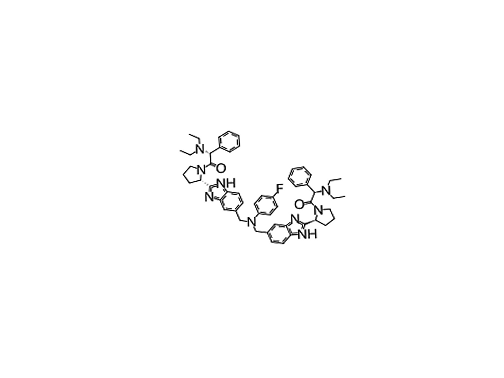 CCN(CC)[C@@H](C(=O)N1CCC[C@H]1c1nc2cc(CN(Cc3ccc4[nH]c([C@@H]5CCCN5C(=O)[C@@H](c5ccccc5)N(CC)CC)nc4c3)c3ccc(F)cc3)ccc2[nH]1)c1ccccc1